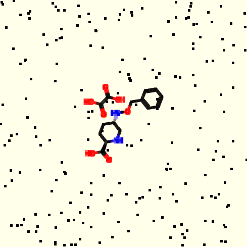 O=C(O)C(=O)O.O=C(O)[C@H]1CC[C@H](NOCc2ccccc2)CN1